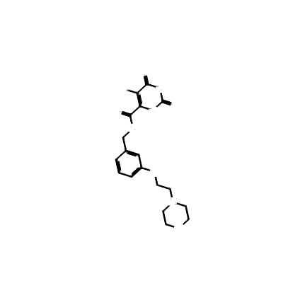 C=C1NC(=O)NC(C(=O)NCc2cccc(OCCN3CCOCC3)c2)=C1N